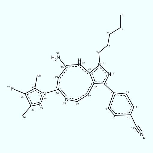 CCCCCn1nc(-c2ccc(C#N)cc2)c2ccnc(-n3nc(C)c(F)c3C)cc(N)[nH]c21